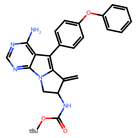 C=C1c2c(-c3ccc(Oc4ccccc4)cc3)c3c(N)ncnc3n2CC1NC(=O)OC(C)(C)C